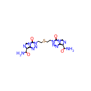 NC(=O)c1ncn2c(=O)n(CCSCCn3nnc4c(C(N)=O)ncn4c3=O)nnc12